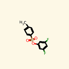 Cc1ccc(S(=O)(=O)Oc2cc(F)cc(F)c2)cc1